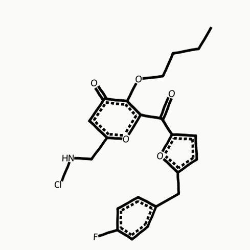 CCCCOc1c(C(=O)c2ccc(Cc3ccc(F)cc3)o2)oc(CNCl)cc1=O